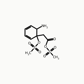 CS(=O)(=O)OC(=O)CC1(OS(C)(=O)=O)C=CC=CC1N